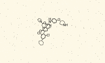 O=C(Cn1c(=O)c(-c2c(Cl)cc(C3CCCCC3)cc2Cl)cc2cnc(Nc3ccc(OC4CCNCC4)cc3)nc21)N1CCCC1